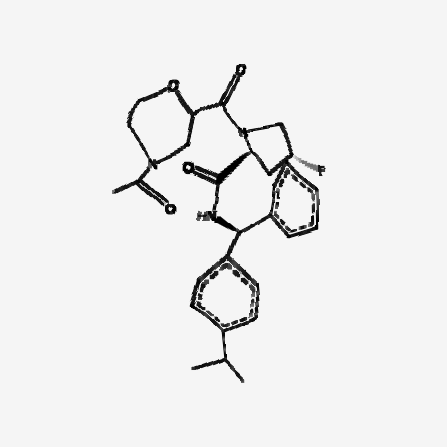 CC(=O)N1CCOC(C(=O)N2C[C@H](F)C[C@H]2C(=O)N[C@@H](c2ccccc2)c2ccc(C(C)C)cc2)C1